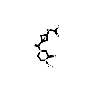 CCC(=O)NC12CC(C(=O)N3CCN(C)C(=O)C3)(C1)C2